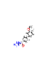 NNC(=O)[C@@H]1CC=C(c2cccc(OC(F)(F)F)c2)CC1